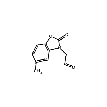 Cc1ccc2oc(=O)n(CC=O)c2c1